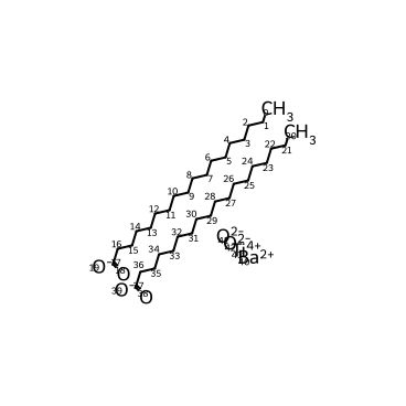 CCCCCCCCCCCCCCCCCC(=O)[O-].CCCCCCCCCCCCCCCCCC(=O)[O-].[Ba+2].[O-2].[O-2].[Ti+4]